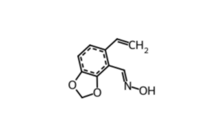 C=Cc1ccc2c(c1C=NO)OCO2